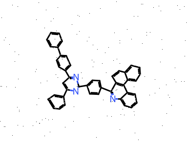 c1ccc(-c2ccc(-c3cc(-c4ccccc4)nc(-c4ccc(-c5nc6ccccc6c6c5ccc5ccccc56)cc4)n3)cc2)cc1